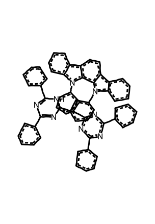 c1ccc(C2=NC(c3cccc(-n4c5ccccc5c5ccc6c7ccccc7n(-c7cccc(-c8nc(-c9ccccc9)nc(-c9ccccc9)n8)c7)c6c54)c3)NC(c3ccccc3)=N2)cc1